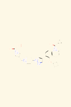 CC1CCc2c(ccc(-c3cnn(C4CCN(CC5CN(C(=O)O)C5)CC4)c3)c2OC2CCC2)N1C(=O)C1CC1